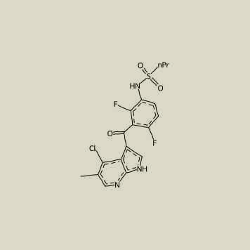 CCCS(=O)(=O)Nc1ccc(F)c(C(=O)c2c[nH]c3ncc(C)c(Cl)c23)c1F